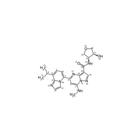 CNc1cc(-c2ccc(C(C)C)c3nccn23)nc2c(C(=O)N[C@H]3COC[C@H]3O)cnn12